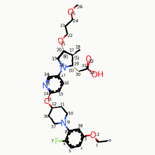 CCOc1ccc(F)c(N2CCC(Oc3ccc(N4C[C@H](OCCCOC)[C@@H](C)[C@@H]4CC(=O)O)cn3)CC2)c1